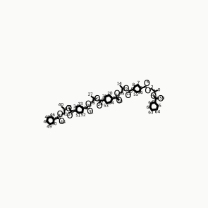 CC(COC(=O)c1ccc(C(=O)OC(C)COC(=O)c2ccc(C(=O)OC(C)COC(=O)c3ccc(C(=O)OC(C)COC(=O)c4ccccc4)cc3)cc2)cc1)OC(=O)c1ccccc1